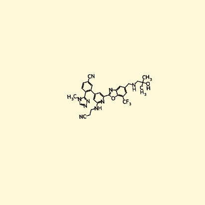 Cn1cnnc1-c1ccc(C#N)cc1-c1cc(NCCC#N)nc(-c2nc3cc(CNCC(C)(C)O)cc(C(F)(F)F)c3o2)c1